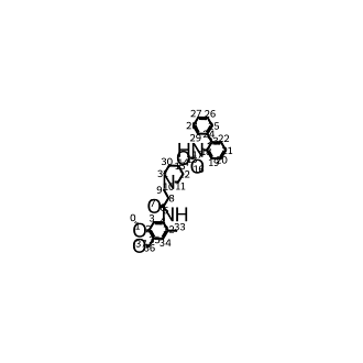 COc1cc(NC(=O)CCN2CCC(OC(=O)Nc3ccccc3-c3ccccc3)CC2)c(C)cc1C=O